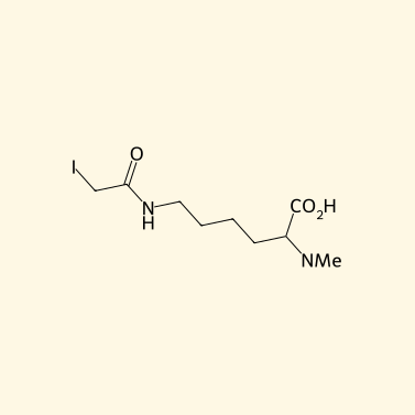 CNC(CCCCNC(=O)CI)C(=O)O